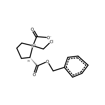 O=C(OCc1ccccc1)[C@@H]1CCC[N+]1(CCl)C(=O)[O-]